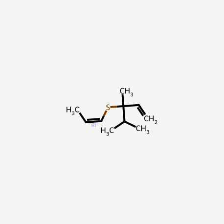 C=CC(C)(S/C=C\C)C(C)C